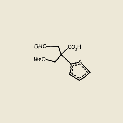 COCC(CC=O)(C(=O)O)c1cccs1